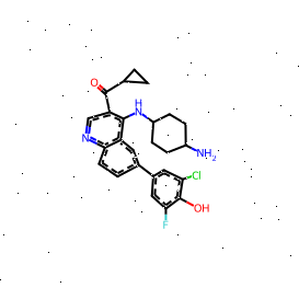 NC1CCC(Nc2c(C(=O)C3CC3)cnc3ccc(-c4cc(F)c(O)c(Cl)c4)cc23)CC1